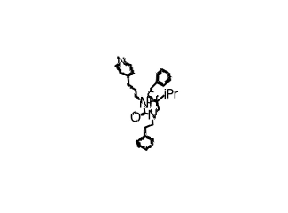 CC(C)C(CN(CCc1ccccc1)C(=O)NCCCc1ccncc1)SCc1ccccc1